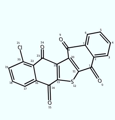 O=c1c2ccccc2c(=O)c2c1sc1c(=O)c3cccc(Cl)c3c(=O)c12